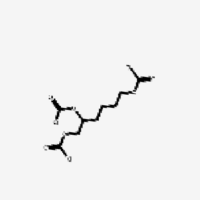 O=C(Cl)OCCCCC(COC(=O)Cl)OC(=O)Cl